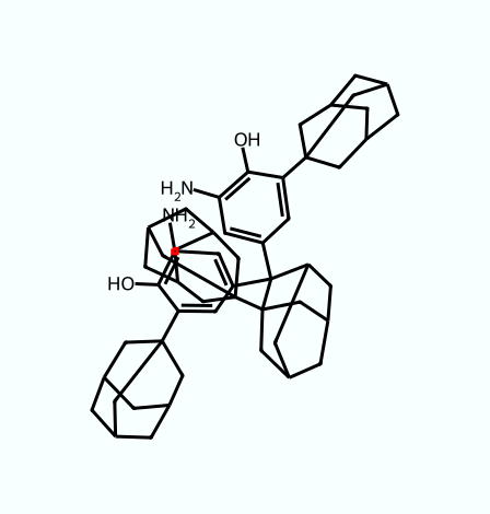 Nc1cc(C2(c3cc(N)c(O)c(C45CC6CC(CC(C6)C4)C5)c3)C3CC4CC(C3)CC2(C23CC5CC(CC(C5)C2)C3)C4)cc(C23CC4CC(CC(C4)C2)C3)c1O